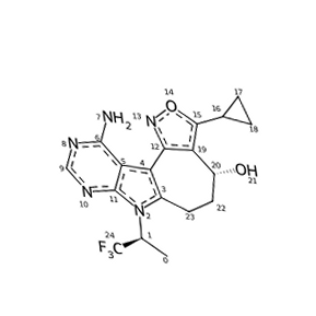 C[C@H](n1c2c(c3c(N)ncnc31)-c1noc(C3CC3)c1[C@H](O)CC2)C(F)(F)F